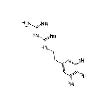 [2H]c1cc(CCNC(=N)NC(=N)N)cc([2H])c1[2H]